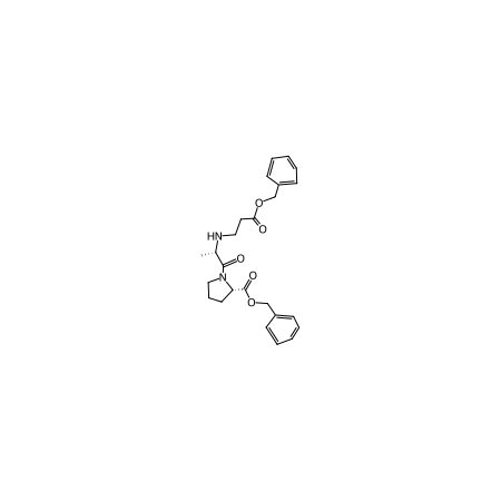 C[C@H](NCCC(=O)OCc1ccccc1)C(=O)N1CCC[C@H]1C(=O)OCc1ccccc1